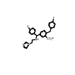 O=C(O)c1cc(C(NCCn2ccnc2)c2ccc(F)cc2)ccc1Cc1ccc(F)cc1